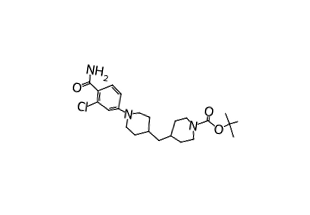 CC(C)(C)OC(=O)N1CCC(CC2CCN(c3ccc(C(N)=O)c(Cl)c3)CC2)CC1